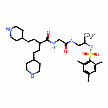 Cc1cc(C)c(S(=O)(=O)NC(CNC(=O)CNC(=O)C(CCC2CCNCC2)CCC2CCNCC2)C(=O)O)c(C)c1